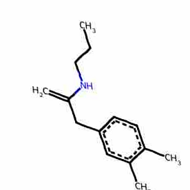 C=C(Cc1ccc(C)c(C)c1)NCCC